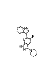 Fc1cc2c(N3CCCCC3)n[nH]c2nc1-c1cnn2ccccc12